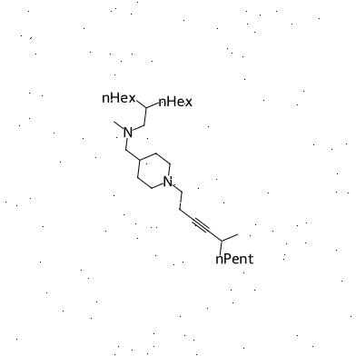 CCCCCCC(CCCCCC)CN(C)CC1CCN(CCC#CC(C)CCCCC)CC1